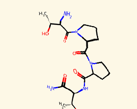 C[C@@H](O)C(N)C(=O)N1CCCC1C(=O)N1CCCC1C(=O)N[C@H](C(N)=O)[C@@H](C)O